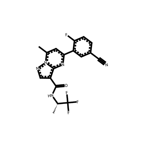 Cc1cc(-c2cc(C#N)ccc2F)nc2c(C(=O)N[C@@H](C)C(F)(F)F)cnn12